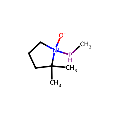 CP[N+]1([O-])CCCC1(C)C